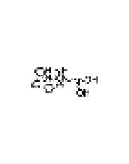 O=C(CNC(c1ccccc1)(c1ccccc1)c1ccccc1)C(=O)NCCN(CCO)CCO